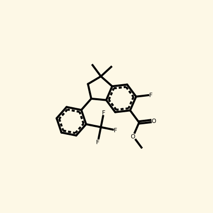 COC(=O)c1cc2c(cc1F)C(C)(C)CC2c1ccccc1C(F)(F)F